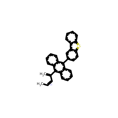 C=C(/C=C\C)c1c2ccccc2c(-c2ccc3sc4ccccc4c3c2)c2ccccc12